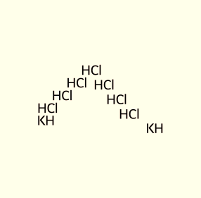 Cl.Cl.Cl.Cl.Cl.Cl.Cl.[KH].[KH]